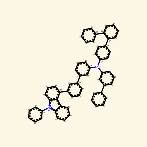 c1ccc(-c2cccc(N(c3ccc(-c4ccccc4-c4ccccc4)cc3)c3cccc(-c4cccc(-c5cccc6c5c5ccccc5n6-c5ccccc5)c4)c3)c2)cc1